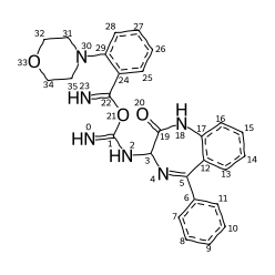 N=C(NC1N=C(c2ccccc2)c2ccccc2NC1=O)OC(=N)c1ccccc1N1CCOCC1